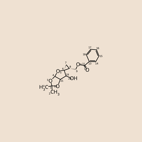 CC1(C)OC2O[C@]3(C[C@@H]3COC(=O)c3ccccc3)C(O)C2O1